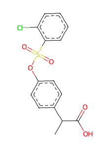 CC(C(=O)O)c1ccc(OS(=O)(=O)c2ccccc2Cl)cc1